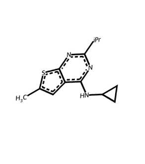 Cc1cc2c(NC3CC3)nc(C(C)C)nc2s1